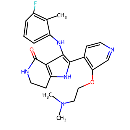 Cc1c(F)cccc1Nc1c(-c2ccncc2OCCN(C)C)[nH]c2c1C(=O)NCC2